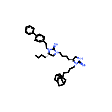 CCCC[C@H]1CN(CCCC[C@H]2CNC(=N)N2CCCCC23CC4CC(CC(C4)C2)C3)C(=N)N1CCc1ccc(-c2ccccc2)cc1